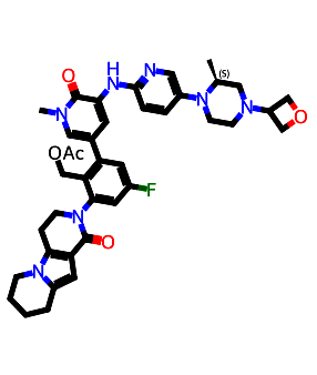 CC(=O)OCc1c(-c2cc(Nc3ccc(N4CCN(C5COC5)C[C@@H]4C)cn3)c(=O)n(C)c2)cc(F)cc1N1CCc2c(cc3n2CCCC3)C1=O